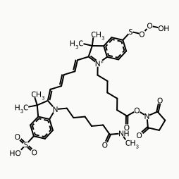 CNC(=O)CCCCCN1C(=CC=CC=CC2=[N+](CCCCCC(=O)ON3C(=O)CCC3=O)c3ccc(SOOO)cc3C2(C)C)C(C)(C)c2cc(S(=O)(=O)O)ccc21